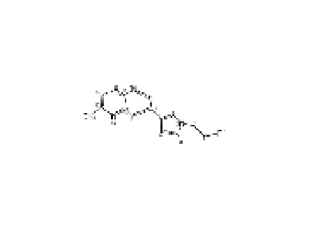 FCCn1cc(-c2cnc3ccc(Cl)nc3c2)cn1